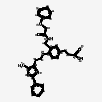 Cc1oc(-c2ccccc2)nc1CCOc1ccc(CCC(=O)O)cc1CNC(=O)COc1ccccc1